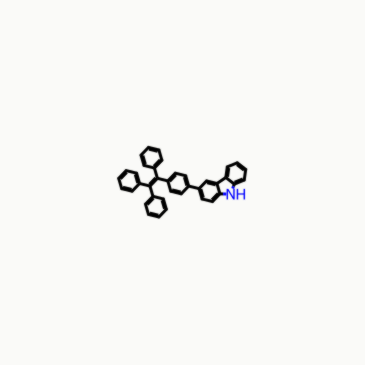 c1ccc(C(=C(c2ccccc2)c2ccc(-c3ccc4[nH]c5ccccc5c4c3)cc2)c2ccccc2)cc1